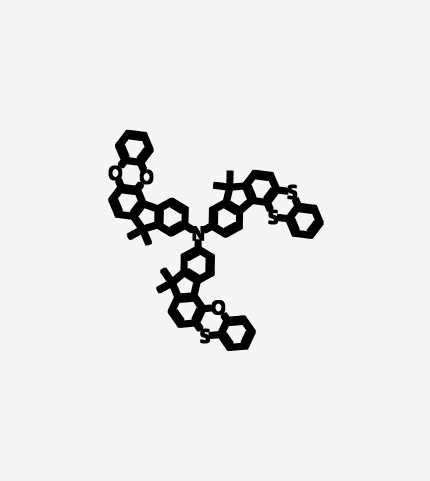 CC1(C)c2cc(N(c3ccc4c(c3)C(C)(C)c3ccc5c(c3-4)Oc3ccccc3S5)c3ccc4c(c3)C(C)(C)c3ccc5c(c3-4)Sc3ccccc3S5)ccc2-c2c1ccc1c2Oc2ccccc2O1